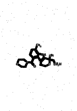 CCCC1(CC(=O)O)OCCc2c1[nH]c1c(C)ccc(C(=O)N3CCOCC3)c21